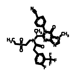 CCS(=O)(=O)CCN(C(=O)Cc1ccc(F)c(C(F)(F)F)c1)[C@H](C)c1nc2ncn(C)c2c(=O)n1-c1ccc(C#N)cc1